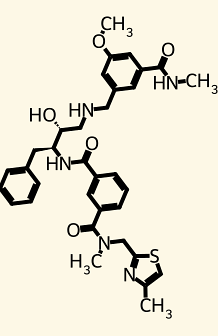 CNC(=O)c1cc(CNC[C@@H](O)[C@H](Cc2ccccc2)NC(=O)c2cccc(C(=O)N(C)Cc3nc(C)cs3)c2)cc(OC)c1